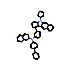 C1=c2ccccc2=CC(N(c2ccc(-c3ccccc3)cc2)c2cccc(-c3cccc4c3c3cc5ccccc5cc3n4-c3ccccc3)c2)C1